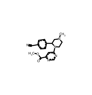 COC(=O)c1cc(N2CCN(C)CC2c2ccc(C#N)cc2)ncn1